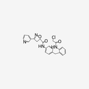 O=C(CCl)Nc1ccccc1Cc1ccc(NC(=O)C2CC(c3cccnc3)=NO2)cc1